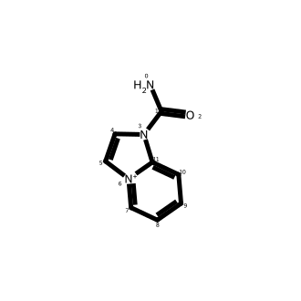 NC(=O)n1cc[n+]2ccccc12